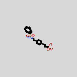 O=C(O)/C=C/c1ccc(CCNS(=O)(=O)c2ccccc2)cc1